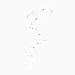 COc1cncc(C2=COCC(c3nc4c(-c5ccccn5)nccc4[nH]3)=C2)c1